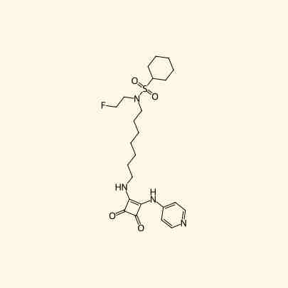 O=c1c(NCCCCCCCN(CCF)S(=O)(=O)C2CCCCC2)c(Nc2ccncc2)c1=O